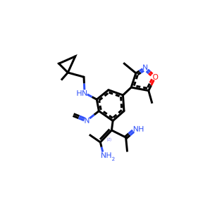 C=Nc1c(NCC2(C)CC2)cc(-c2c(C)noc2C)cc1/C(C(C)=N)=C(\C)N